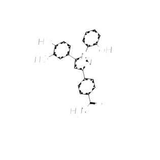 NC(=O)c1ccc(-c2cc(-c3ccc(O)c(O)c3)n(-c3ccccc3O)n2)cc1